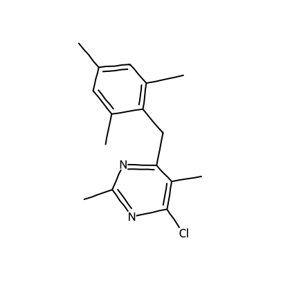 Cc1cc(C)c(Cc2nc(C)nc(Cl)c2C)c(C)c1